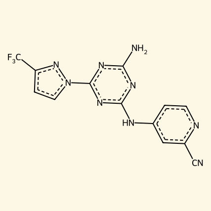 N#Cc1cc(Nc2nc(N)nc(-n3ccc(C(F)(F)F)n3)n2)ccn1